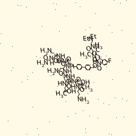 CCN(CC)CCNC(=O)c1c(C)[nH]c(/C=C2\C(=O)N(C(=O)OCc3ccc(-c4ccc(CC[C@@H](NC(=O)C(CCN)NC(=O)[C@H](CCNC(=O)C[C@@H](C)O)NC(=O)CNC(=O)[C@@H](NC(=O)CCCN)[C@@H](C)O)C(=O)NCC(=O)N[C@@H](CCN)C(=O)NCC(N)=O)cc4)cc3)c3ccc(F)cc32)c1C